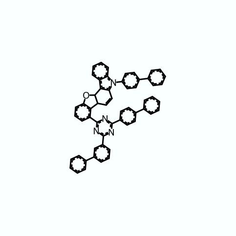 C1=CC2c3c(cccc3-c3nc(-c4ccc(-c5ccccc5)cc4)nc(-c4cccc(-c5ccccc5)c4)n3)OC2c2c1n(-c1ccc(-c3ccccc3)cc1)c1ccccc21